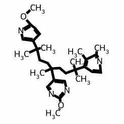 COc1ccc(C(C)(C)CCC(C)(CCC(C)(C)c2ccnc(C)c2C)c2cnc(OC)nc2)cn1